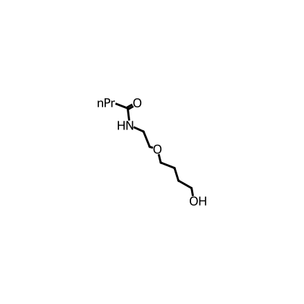 CCCC(=O)NCCOCCCCO